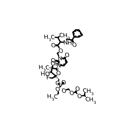 CCOP(=O)(OCOC(=O)OC(C)C)OC[C@@]1(CF)O[C@@H](n2ccc(=O)n(COC(=O)C(NCC(=O)c3ccccc3)C(C)C)c2=O)[C@](C)(O)[C@@H]1O